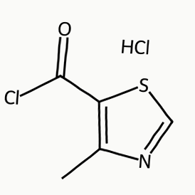 Cc1ncsc1C(=O)Cl.Cl